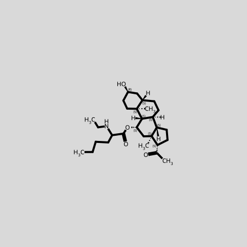 CCCCC(NCC)C(=O)O[C@H]1C[C@]2(C)[C@@H](C(C)=O)CC[C@H]2[C@@H]2CC[C@H]3C[C@H](O)CC[C@]3(C)[C@H]21